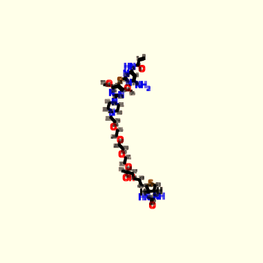 C=CC(=O)Nc1cc(N)nc(Sc2c(OC)nc(N3CCN(CCOCCOCCOCCOC(C)(O)CCCC[C@@H]4SC[C@@H]5NC(=O)N[C@@H]54)CC3)nc2OC)n1